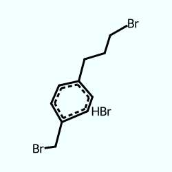 Br.BrCCCc1ccc(CBr)cc1